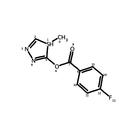 C[SH]1C=NN=C1OC(=O)c1ccc(F)cc1